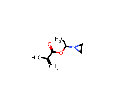 C=C(C)C(=O)OC(C)N1CC1